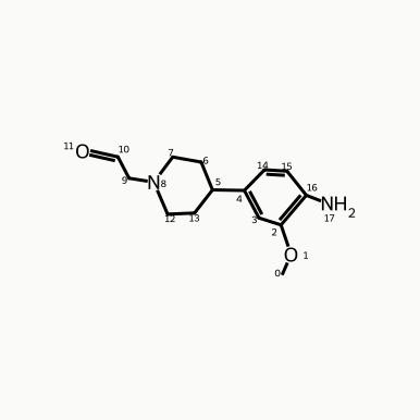 COc1cc(C2CCN(CC=O)CC2)ccc1N